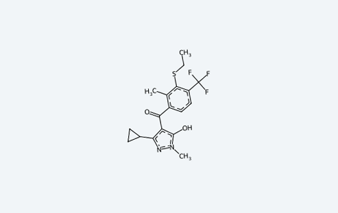 CCSc1c(C(F)(F)F)ccc(C(=O)c2c(C3CC3)nn(C)c2O)c1C